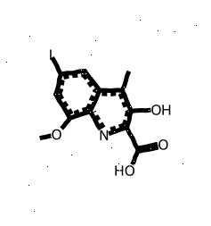 COc1cc(I)cc2c(C)c(O)c(C(=O)O)nc12